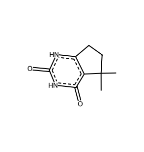 CC1(C)CCc2[nH]c(=O)[nH]c(=O)c21